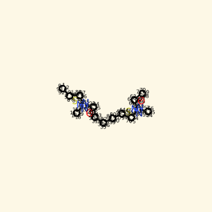 c1ccc(-c2ccc3sc4c(-c5nc(-c6ccccc6)nc(-c6cccc7c6oc6ccc(-c8cccc(-c9ccc(-c%10ccc%11sc%12c(-c%13nc(-c%14ccccc%14)nc(-c%14cccc%15c%14oc%14ccccc%14%15)n%13)cccc%12c%11c%10)cc9)c8)cc67)n5)cccc4c3c2)cc1